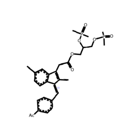 CC(=O)c1ccc(/C=C2/C(C)=C(CC(=O)OCC(COP(C)(C)=O)OP(C)(C)=O)c3cc(C)ccc32)cc1